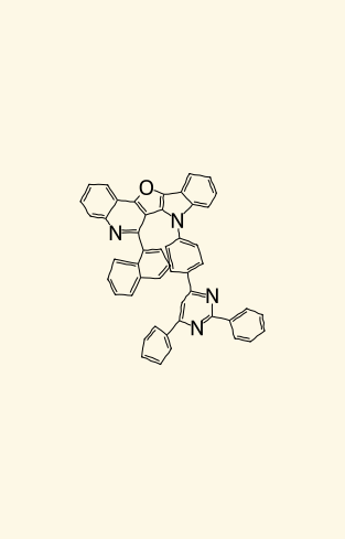 c1ccc(-c2cc(-c3ccc(-n4c5ccccc5c5oc6c7ccccc7nc(-c7cccc8ccccc78)c6c54)cc3)nc(-c3ccccc3)n2)cc1